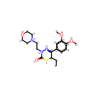 CCC1SC(=O)N(CCN2CCOCC2)N=C1c1ccc(OC)c(OC)c1